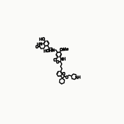 COc1cc(NC(=O)CCCc2cccc(C3(C(=O)OCC4CCNCC4)CCCCC3)c2)c(Cl)cc1CNC[C@@H](O)c1ccc(O)c2[nH]c(=O)ccc12